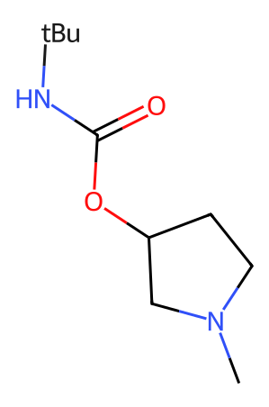 CN1CCC(OC(=O)NC(C)(C)C)C1